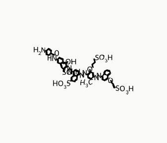 Cc1cc(N=Nc2ccc(N=Nc3c(S(=O)(=O)O)cc4cc(NC(=O)c5ccc(N)cc5)ccc4c3O)c3cc(S(=O)(=O)O)ccc23)c(OCCCCS(=O)(=O)O)cc1N=Nc1ccc(OCCCS(=O)(=O)O)c2ccccc12